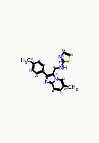 Cc1ccc(-c2nc3ccc(C)cn3c2CNc2nccs2)cc1